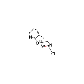 ClC1CC2CCN1C[C@@]21Cc2cccnc2O1